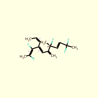 C=C(/C=C(\C=C/C)C(/F)=C(/C)F)[C@](C)(F)C=CC(C)(F)F